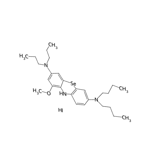 CCCCN(CCCC)c1ccc2c(c1)[Se]c1cc(N(CCC)CCC)cc(OC)c1N2.I